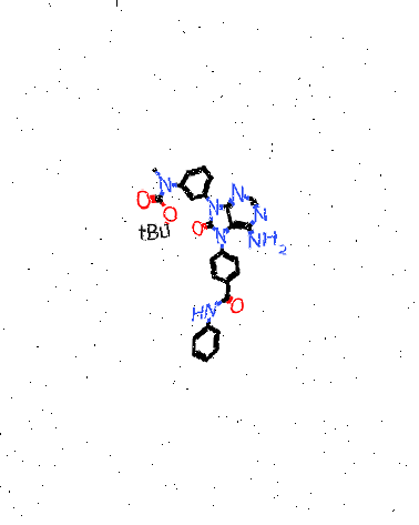 CN(C(=O)OC(C)(C)C)c1cccc(-n2c(=O)n(-c3ccc(C(=O)Nc4ccccc4)cc3)c3c(N)ncnc32)c1